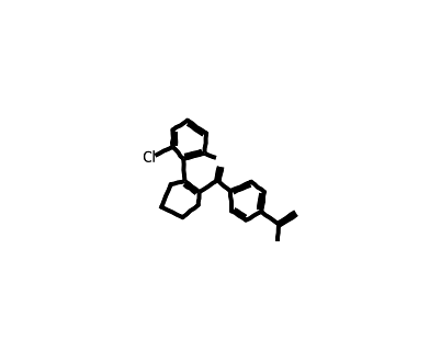 C=C(C)c1ccc(C(=C)C2=C(c3c(C)cccc3Cl)CCCC2)cc1